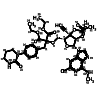 C#C[C@@]1(OC(C)=O)[C@@H](COC(Cc2ccc(N3CCCNC3=O)cc2)(C(=O)OCC)C(=O)OCC)O[C@@H](n2cnc3c(NC)nc(Cl)nc32)[C@@H]1OC(C)=O